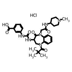 CN1CCC(NC(=O)CN2C(=O)C(NC(=O)Nc3cccc(C(=O)O)c3)CN(C(=O)C(C)(C)C)c3ccccc32)CC1.Cl